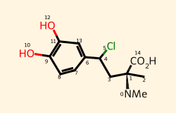 CN[C@@](C)(CC(Cl)c1ccc(O)c(O)c1)C(=O)O